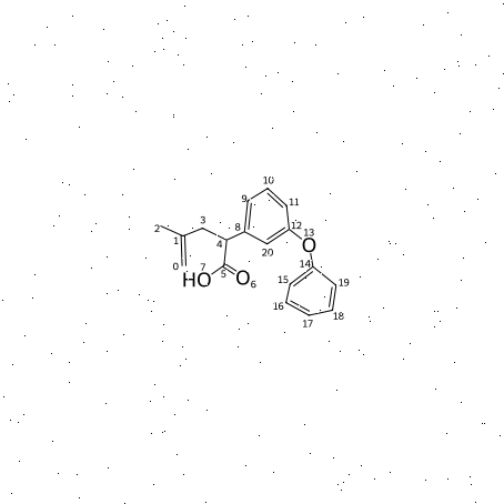 C=C(C)CC(C(=O)O)c1cccc(Oc2ccccc2)c1